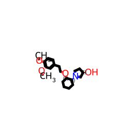 COc1ccc(CCO[C@@H]2CCCC[C@@H]2N2CC[C@H](O)C2)cc1OC